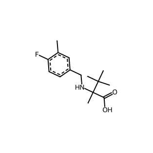 Cc1cc(CNC(C)(C(=O)O)C(C)(C)C)ccc1F